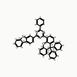 c1ccc(-c2nc(-c3ccc4c(c3)sc3ccccc34)nc(-c3cccc4c3Oc3ccccc3C4(c3ccccc3)c3ccccc3)n2)cc1